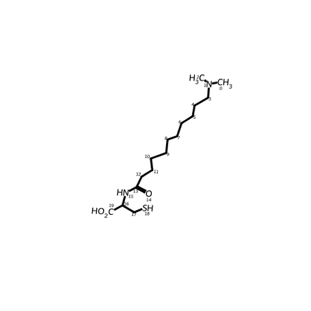 CN(C)CCCCCCCCCCC(=O)NC(CS)C(=O)O